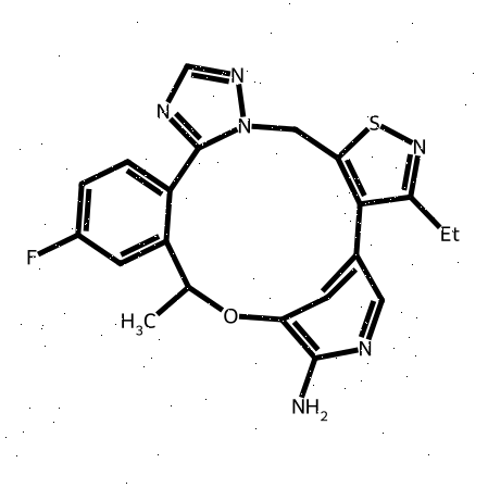 CCc1nsc2c1-c1cnc(N)c(c1)OC(C)c1cc(F)ccc1-c1ncnn1C2